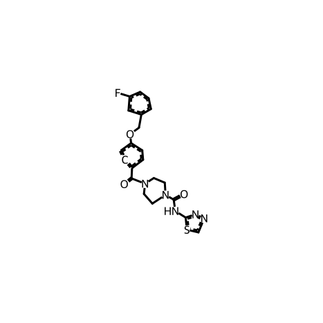 O=C(Nc1nncs1)N1CCN(C(=O)c2ccc(OCc3cccc(F)c3)cc2)CC1